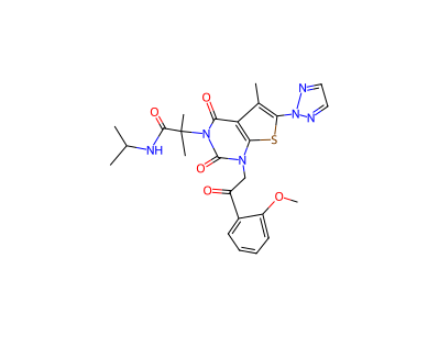 COc1ccccc1C(=O)Cn1c(=O)n(C(C)(C)C(=O)NC(C)C)c(=O)c2c(C)c(-n3nccn3)sc21